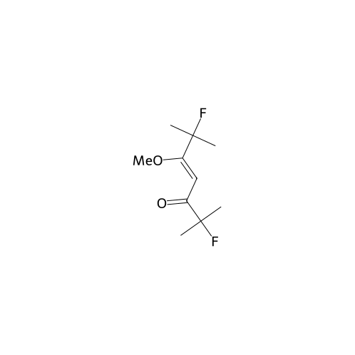 CO/C(=C\C(=O)C(C)(C)F)C(C)(C)F